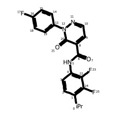 CC(C)c1ccc(NC(=O)c2ccnn(-c3ccc(F)cc3)c2=O)c(F)c1F